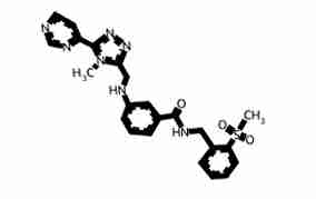 Cn1c(CNc2cccc(C(=O)NCc3ccccc3S(C)(=O)=O)c2)nnc1-c1ccncn1